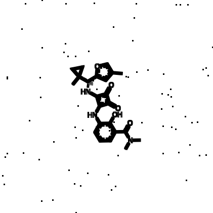 Cc1coc([C@H](Nc2c(Nc3cccc(C(=O)N(C)C)c3O)c(=O)c2=O)C2(C)CC2)c1